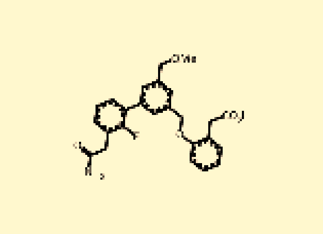 COCc1cc(COc2ccccc2CC(=O)O)cc(-c2cccc(CC(N)=O)c2F)c1